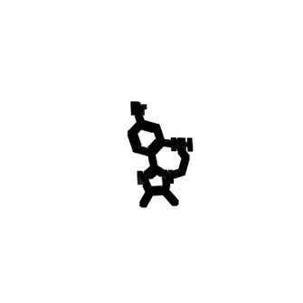 Cc1nc2n(c1C)CCNc1cc(Br)ccc1-2